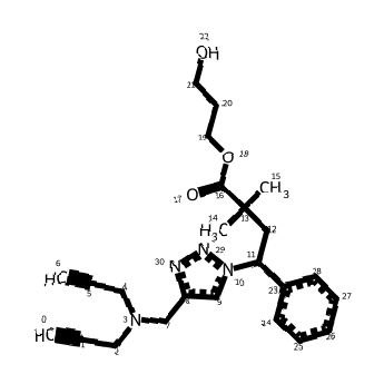 C#CCN(CC#C)Cc1cn(C(CC(C)(C)C(=O)OCCCO)c2ccccc2)nn1